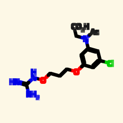 CC(=O)N(CC(=O)O)c1cc(Cl)cc(OCCCONC(=N)N)c1